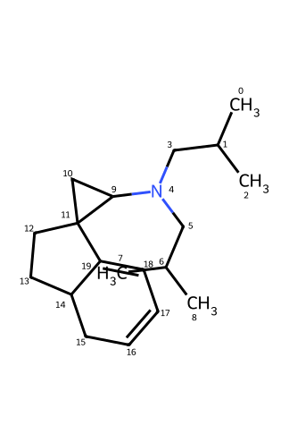 CC(C)CN(CC(C)C)C1CC12CCC1CC=CC=C12